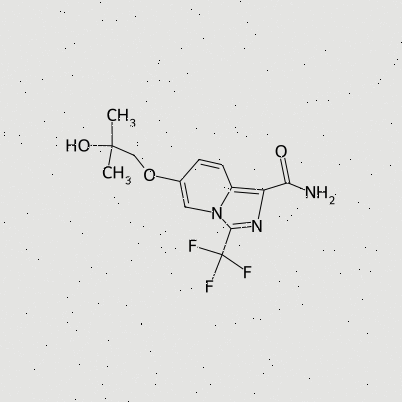 CC(C)(O)COc1ccc2c(C(N)=O)nc(C(F)(F)F)n2c1